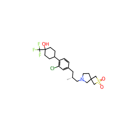 C[C@H](Cc1ccc(C2CCC(O)(C(F)(F)F)CC2)c(Cl)c1)CN1CCC2(C1)CS(=O)(=O)C2